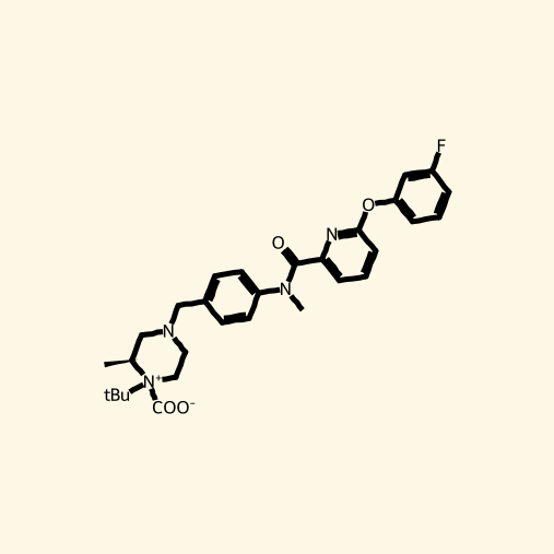 C[C@H]1CN(Cc2ccc(N(C)C(=O)c3cccc(Oc4cccc(F)c4)n3)cc2)CC[N+]1(C(=O)[O-])C(C)(C)C